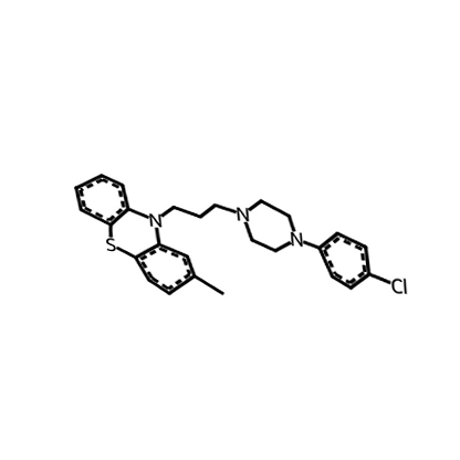 Cc1ccc2c(c1)N(CCCN1CCN(c3ccc(Cl)cc3)CC1)c1ccccc1S2